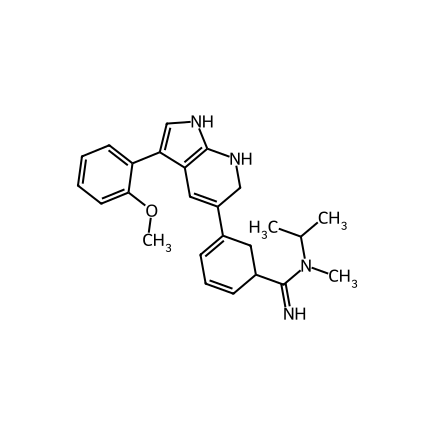 COc1ccccc1-c1c[nH]c2c1C=C(C1=CC=CC(C(=N)N(C)C(C)C)C1)CN2